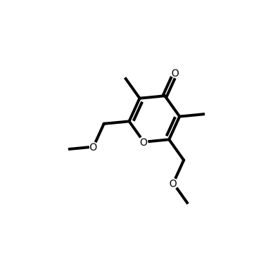 COCc1oc(COC)c(C)c(=O)c1C